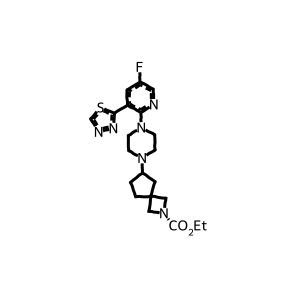 CCOC(=O)N1CC2(CCC(N3CCN(c4ncc(F)cc4-c4nncs4)CC3)C2)C1